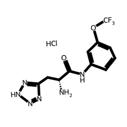 Cl.N[C@H](Cc1nn[nH]n1)C(=O)Nc1cccc(OC(F)(F)F)c1